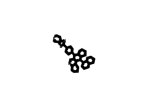 c1ccc2c(-c3c4ccccc4c(-c4ccc(-c5nc6ccccc6s5)cc4)c4cnc5ccccc5c34)cccc2c1